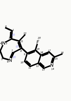 C/C=C1NCC/N=C/C(c2ccc3cnc(C)cc3c2F)=C\1C